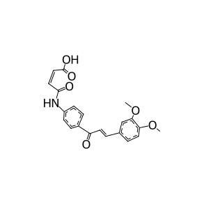 COc1ccc(/C=C/C(=O)c2ccc(NC(=O)/C=C\C(=O)O)cc2)cc1OC